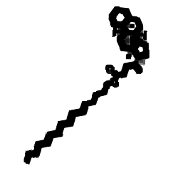 CCCCCCCCCCCCCCCCOC(=O)CCC(C)[C@H]1CC[C@H]2[C@@H]3CCC4CCCC[C@]4(C)[C@H]3CC[C@]12C